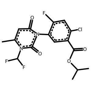 Cc1cc(=O)n(-c2cc(C(=O)OC(C)C)c(Cl)cc2F)c(=O)n1C(F)F